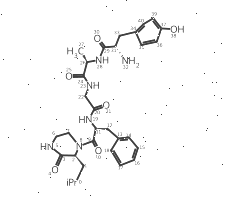 CC(C)C[C@H]1C(=O)NCCN1C(=O)[C@H](Cc1ccccc1)NC(=O)CNC(=O)[C@@H](C)NC(=O)[C@@H](N)Cc1ccc(O)cc1